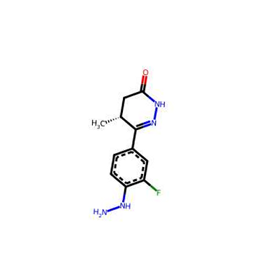 C[C@@H]1CC(=O)NN=C1c1ccc(NN)c(F)c1